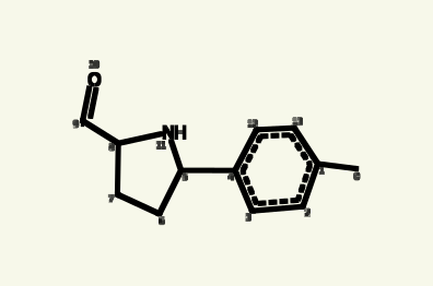 Cc1ccc(C2CCC([C]=O)N2)cc1